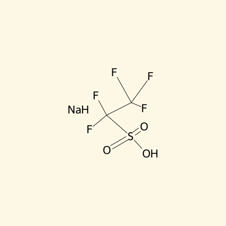 O=S(=O)(O)C(F)(F)C(F)(F)F.[NaH]